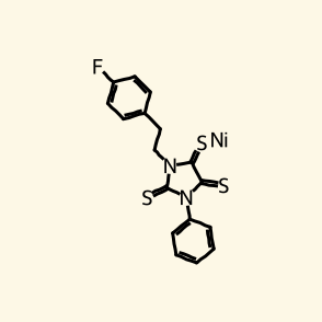 Fc1ccc(CCN2C(=S)C(=S)N(c3ccccc3)C2=S)cc1.[Ni]